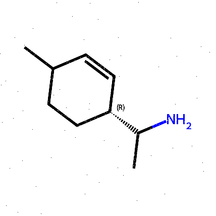 CC1C=C[C@H](C(C)N)CC1